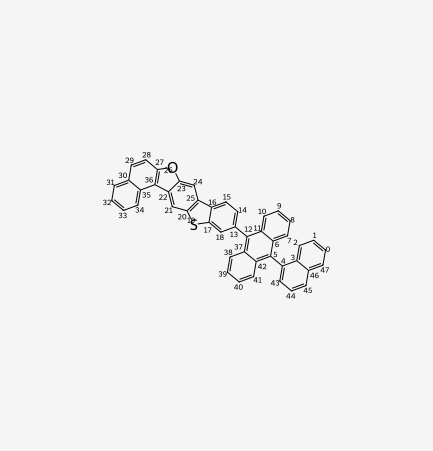 c1ccc2c(-c3c4ccccc4c(-c4ccc5c(c4)sc4cc6c(cc45)oc4ccc5ccccc5c46)c4ccccc34)cccc2c1